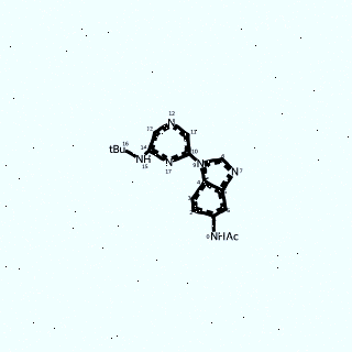 CC(=O)Nc1ccc2c(c1)ncn2-c1cncc(NC(C)(C)C)n1